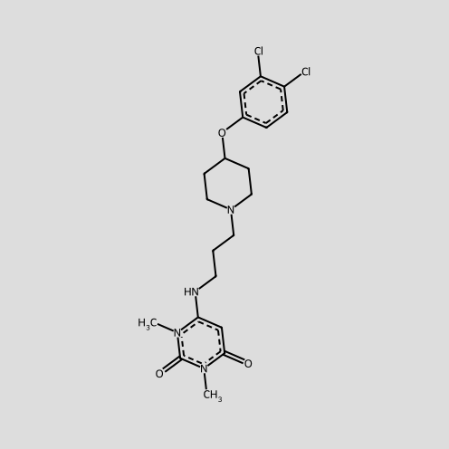 Cn1c(NCCCN2CCC(Oc3ccc(Cl)c(Cl)c3)CC2)cc(=O)n(C)c1=O